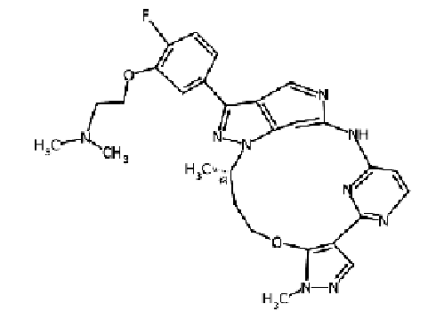 C[C@H]1CCOc2c(cnn2C)-c2nccc(n2)Nc2cc3c(cn2)c(-c2ccc(F)c(OCCN(C)C)c2)nn31